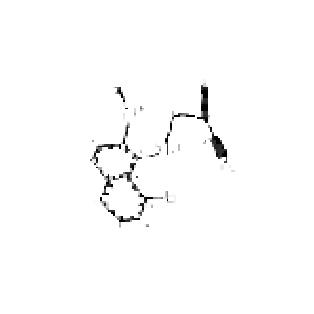 C=C(C#N)CNc1c(OC)ccc2cccc(Br)c12